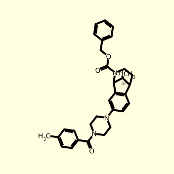 Cc1ccc(C(=O)N2CCN(c3ccc4c(c3)C3[C@@H](C)C4CCN3C(=O)OCc3ccccc3)CC2)cc1